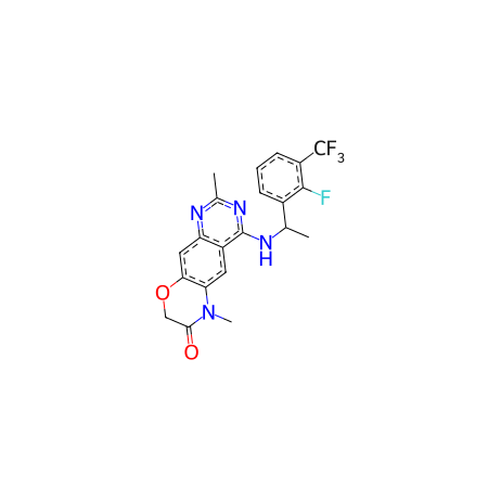 Cc1nc(NC(C)c2cccc(C(F)(F)F)c2F)c2cc3c(cc2n1)OCC(=O)N3C